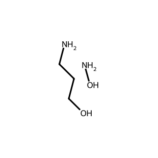 NCCCO.NO